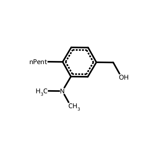 CCCCCc1ccc(CO)cc1N(C)C